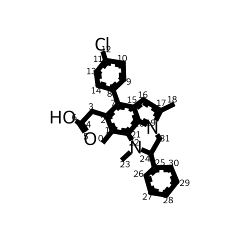 Cc1c(CC(=O)O)c(-c2ccc(Cl)cc2)c2cc(C)n3c2c1N(C)C(c1ccccc1)C3